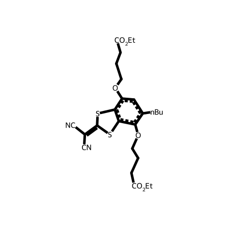 CCCCc1cc(OCCCC(=O)OCC)c2c(c1OCCCC(=O)OCC)SC(=C(C#N)C#N)S2